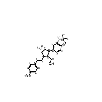 CCCCc1ccc(CCC2CCC(c3ccc4c(c3)SC(C)(C)O4)N2CO)cc1.Cl